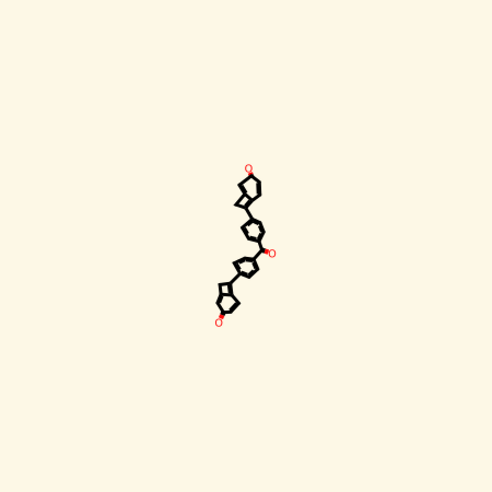 O=C1C=CC2=C(c3ccc(C(=O)c4ccc(C5=C6C=CC(=O)C=C6C5)cc4)cc3)CC2=C1